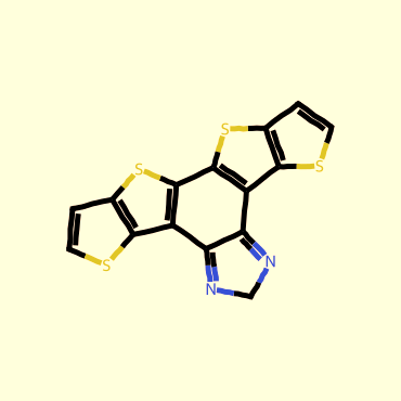 c1cc2sc3c4sc5ccsc5c4c4c(c3c2s1)=NCN=4